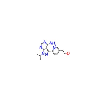 CC(C)n1nc(-c2ccc(CC=O)cn2)c2c(N)ncnc21